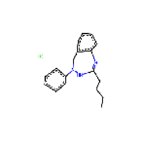 CCCCC1=Nc2ccccc2CN(c2ccccc2)N1.Cl